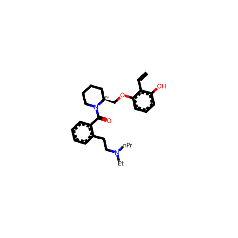 C=Cc1c(O)cccc1OC[C@@H]1CCCCN1C(=O)c1ccccc1CCN(CC)CCC